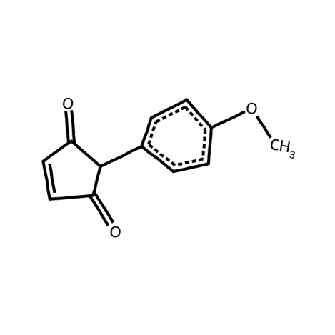 COc1ccc(C2C(=O)C=CC2=O)cc1